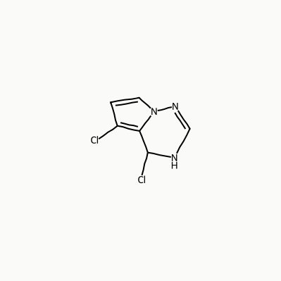 Clc1ccn2c1C(Cl)NC=N2